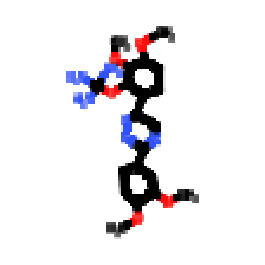 COc1ccc(-c2ncc(-c3ccc(OC)c(OC)c3OC(N)(N)N)nn2)cc1OC